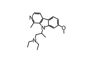 CCN(CC)CC(C)n1c2cc(OC)ccc2c2ccnc(C)c21